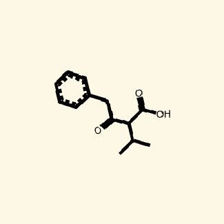 CC(C)C(C(=O)O)C(=O)Cc1ccccc1